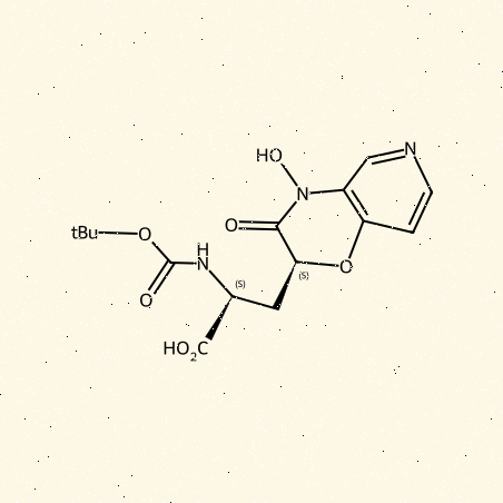 CC(C)(C)OC(=O)N[C@@H](C[C@@H]1Oc2ccncc2N(O)C1=O)C(=O)O